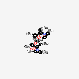 C[CH](C)[Ge]([CH2]Oc1ccc(C(C)(C)C)cc1-c1cc(C(C)(C)CC(C)(C)C)cc(-n2c3cc(C(C)(C)C)ccc3c3ccc(C(C)(C)C)cc32)c1O)([CH2]Oc1ccc(C(C)(C)C)cc1-c1cc(C(C)(C)CC(C)(C)C)cc(-n2c3cc(C(C)(C)C)ccc3c3ccc(C(C)(C)C)cc32)c1O)[CH](C)C